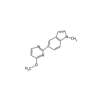 COc1ccnc(-c2ccc3c(ccn3C)c2)n1